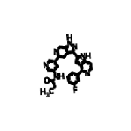 CCC(=O)Nc1cncc(-c2cc3c(-c4cc5c(-c6cccc(F)c6)nccc5[nH]4)n[nH]c3cn2)c1